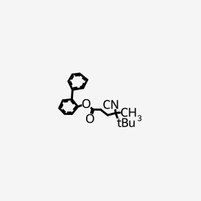 CC(C)(C)C(C)(C#N)CCC(=O)Oc1ccccc1-c1ccccc1